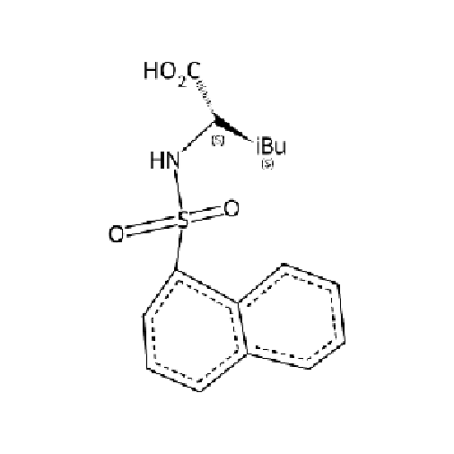 CC[C@H](C)[C@H](NS(=O)(=O)c1cccc2ccccc12)C(=O)O